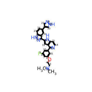 CN(C)CCOc1cc(F)cc(-c2nccc3[nH]c(-c4n[nH]c5ccc(-c6cn[nH]c6)cc45)cc23)c1